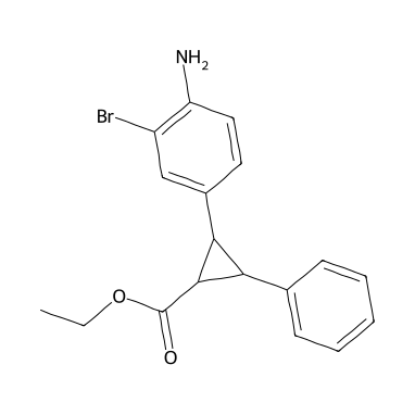 CCOC(=O)C1C(c2ccccc2)C1c1ccc(N)c(Br)c1